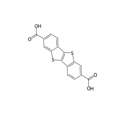 O=C(O)c1ccc2c(c1)sc1c3ccc(C(=O)O)cc3sc21